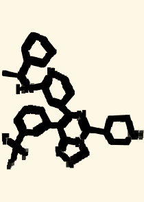 C[C@H](Nc1cc(-c2nc(C3CCNCC3)n3cnnc3c2-c2cccc(C(F)(F)F)c2)ccn1)c1ccccc1